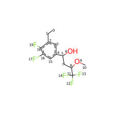 CCc1cc(C(O)CC(OC)C(F)(F)F)cc(F)c1F